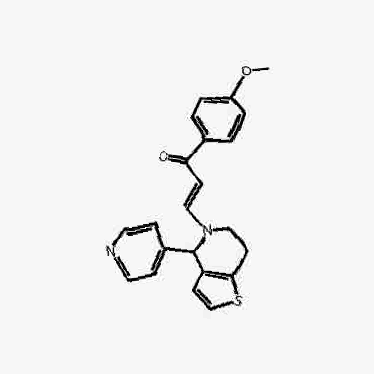 COc1ccc(C(=O)C=CN2CCc3sccc3C2c2ccncc2)cc1